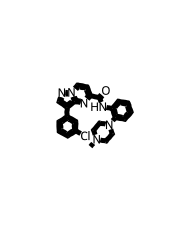 CN1CCN(c2ccccc2NC(=O)c2ccn3ncc(-c4cccc(Cl)c4)c3n2)CC1